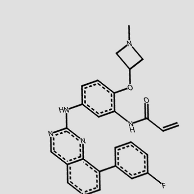 C=CC(=O)Nc1cc(Nc2ncc3cncc(-c4cccc(F)c4)c3n2)ccc1OC1CN(C)C1